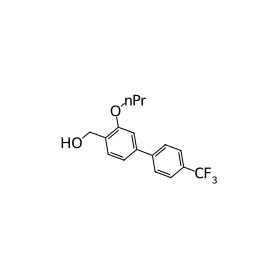 CCCOc1cc(-c2ccc(C(F)(F)F)cc2)ccc1CO